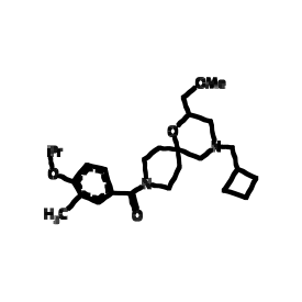 COCC1CN(CC2CCC2)CC2(CCN(C(=O)c3ccc(OC(C)C)c(C)c3)CC2)O1